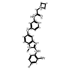 CC(C)c1cc(F)ccc1Nc1nc2cc(Oc3ccnc(NC(=O)CN4CCC4)c3)ccc2n1C